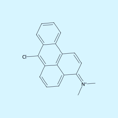 C[N+](C)=C1C=Cc2c3ccccc3c(Cl)c3cccc1c23